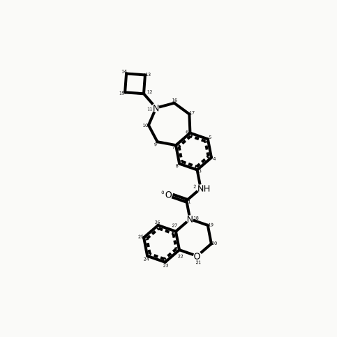 O=C(Nc1ccc2c(c1)CCN(C1CCC1)CC2)N1CCOc2ccccc21